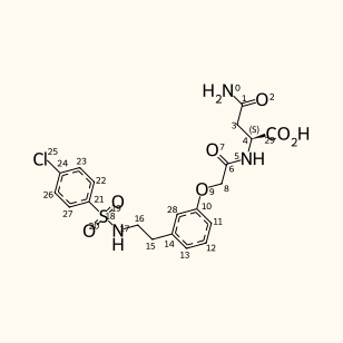 NC(=O)C[C@H](NC(=O)COc1cccc(CCNS(=O)(=O)c2ccc(Cl)cc2)c1)C(=O)O